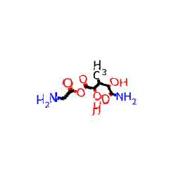 CC(C(O)C(N)=O)C(O)C(=O)OC(=O)CN